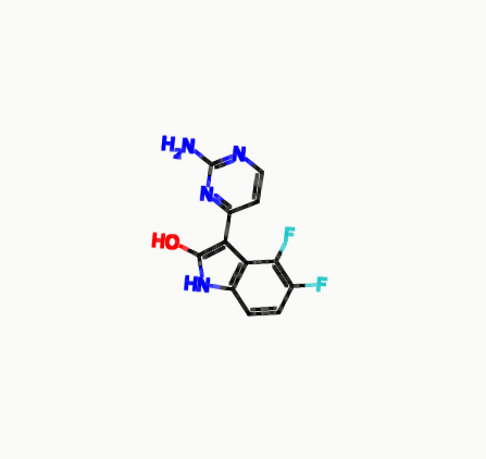 Nc1nccc(-c2c(O)[nH]c3ccc(F)c(F)c23)n1